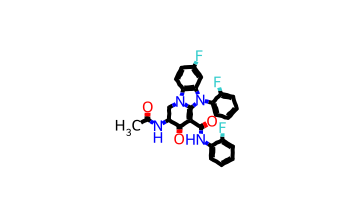 CC(=O)NC1CN2C(=C(C(=O)Nc3ccccc3F)C1=O)N(c1ccccc1F)c1cc(F)ccc12